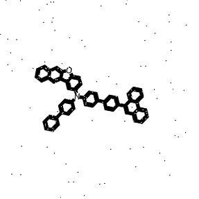 c1ccc(-c2ccc(N(c3ccc(-c4ccc(-c5cc6ccccc6c6ccccc56)cc4)cc3)c3ccc4oc5cc6ccccc6cc5c4c3)cc2)cc1